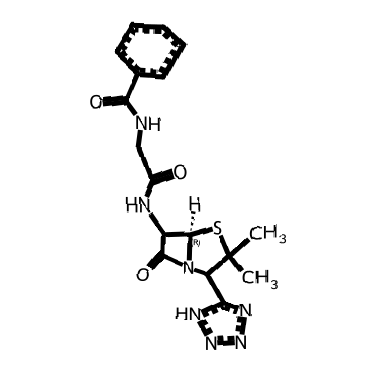 CC1(C)S[C@@H]2C(NC(=O)CNC(=O)c3ccccc3)C(=O)N2C1c1nnn[nH]1